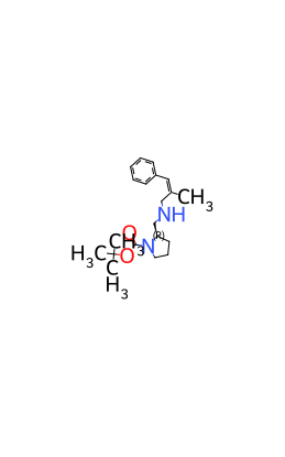 CC(=Cc1ccccc1)CNC[C@H]1CCCN1C(=O)OC(C)(C)C